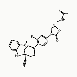 COc1ccccc1NC1(C#N)CCN(c2ccc(N3C[C@H](CNC(C)=S)OC3=O)cc2F)CC1